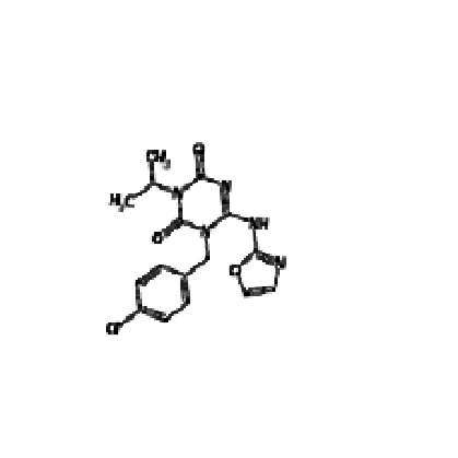 CC(C)n1c(=O)nc(Nc2ncco2)n(Cc2ccc(Cl)cc2)c1=O